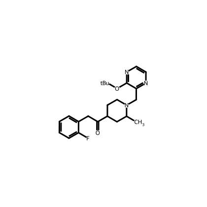 CC1CC(C(=O)Cc2ccccc2F)CCN1Cc1nccnc1OC(C)(C)C